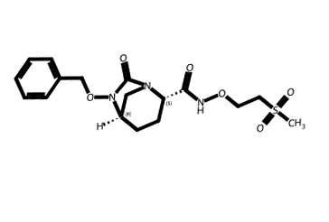 CS(=O)(=O)CCONC(=O)[C@@H]1CC[C@@H]2CN1C(=O)N2OCc1ccccc1